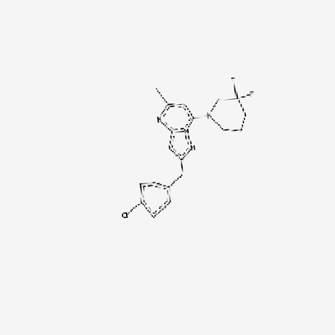 Cc1cc(N2CCCC(F)(F)C2)n2nc(Cc3ccc(Cl)cc3)cc2n1